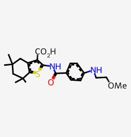 COCCNc1ccc(C(=O)Nc2sc3c(c2C(=O)O)CC(C)(C)CC3(C)C)cc1